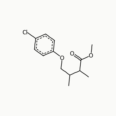 COC(=O)C(C)C(C)COc1ccc(Cl)cc1